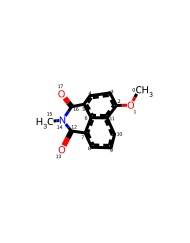 COc1ccc2c3c(cccc13)C(=O)N(C)C2=O